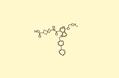 CCOc1ncc(C(=O)NC2CC3(C2)CC(C(=O)O)C3)c2c1ccn2Cc1ccc(-c2ccccc2)cc1